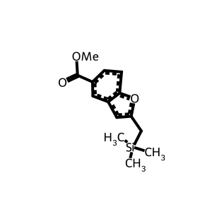 COC(=O)c1ccc2oc(C[Si](C)(C)C)cc2c1